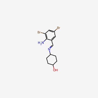 Nc1c(Br)cc(Br)cc1C=NC1CCC(O)CC1